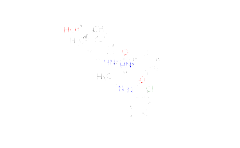 CC1=NN(c2ccccc2Cl)C(Oc2ccccc2NC(=O)Nc2ccc(C(C)(C)CO)cc2)C1